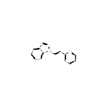 C(=Cn1ncc2ccccc21)c1ccccn1